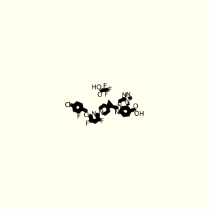 Cn1cnnc1Cn1c(C2CC23CCN(c2nc(OCc4ccc(Cl)cc4F)c(F)cc2F)CC3)nc2ccc(C(=O)O)cc21.O=C(O)C(F)(F)F